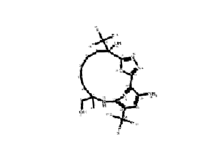 CC1(CO)CCCCC[C@](O)(C(F)(F)F)c2nnc(o2)-c2nc(c(C(F)(F)F)cc2N)N1